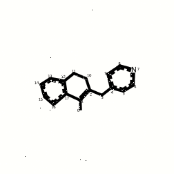 CC1=C(Cc2ccncc2)CCc2ccccc21